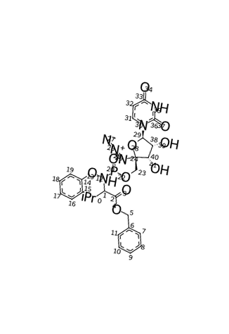 CC(C)C(C(=O)OCc1ccccc1)N(Oc1ccccc1)[PH](=O)OC[C@@]1(N=[N+]=[N-])O[C@@H](n2ccc(=O)[nH]c2=O)[C@H](O)[C@@H]1O